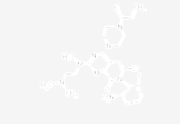 C=CC(=O)N1CCN(c2nc(N(C)CCN(C)C)nc3c(=O)n(-c4c(N)cccc4F)c(C(F)(F)F)cc23)CC1